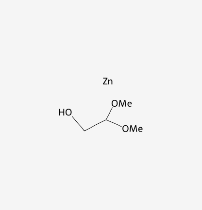 COC(CO)OC.[Zn]